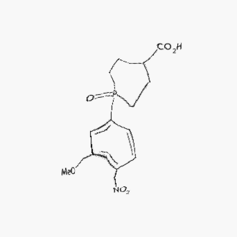 COc1cc(P2(=O)CCC(C(=O)O)CC2)ccc1[N+](=O)[O-]